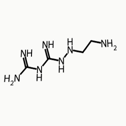 N=C(N)NC(=N)NNCCN